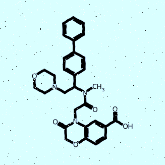 CN(C(=O)CN1C(=O)COc2ccc(C(=O)O)cc21)C(CN1CCOCC1)c1ccc(-c2ccccc2)cc1